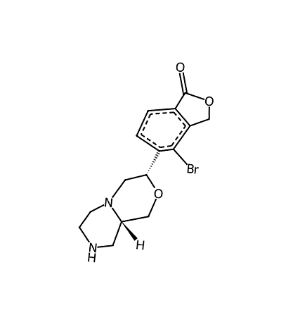 O=C1OCc2c1ccc([C@H]1CN3CCNC[C@H]3CO1)c2Br